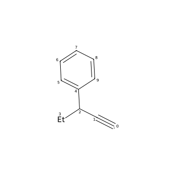 [C]#CC(CC)c1ccccc1